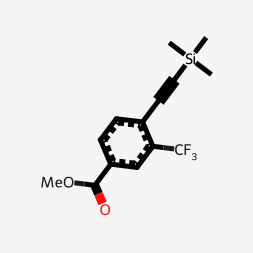 COC(=O)c1ccc(C#C[Si](C)(C)C)c(C(F)(F)F)c1